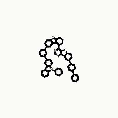 C1=C(c2ccc(-c3ccccc3)cc2)C=C2c3ncnc(C4=c5c(oc6ccc(-c7cccc(-c8ccc9c(c8)c8ccccc8n9-c8ccccc8)c7)cc56)=CCC4)c3OC2C1